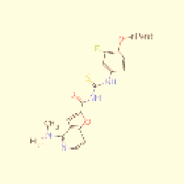 CCCCCOc1ccc(NC(=S)NC(=O)c2cc3c(N(C)C)nccc3o2)cc1F